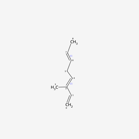 C=C/C(C)=C/C/C=[C]/C